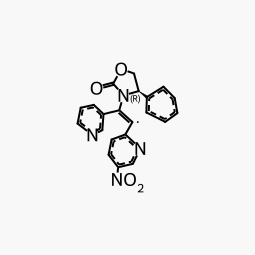 O=C1OC[C@@H](c2ccccc2)N1C(=[C]c1ccc([N+](=O)[O-])cn1)c1cccnc1